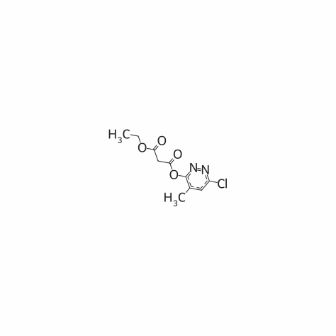 CCOC(=O)CC(=O)Oc1nnc(Cl)cc1C